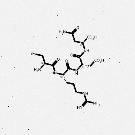 CC(C)C[C@H](N)C(=O)N[C@@H](CCCNC(=N)N)C(=O)N[C@@H](CC(=O)O)C(=O)N[C@@H](CC(N)=O)C(=O)O